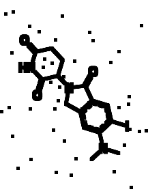 CN(C)c1cc2c(cc1I)C(=O)N(C1CCC(=O)NC1=O)C2